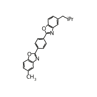 Cc1ccc2oc(-c3ccc(-c4nc5cc(CC(C)C)ccc5o4)cc3)nc2c1